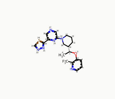 CC(Oc1cccnc1C(F)(F)F)[C@H]1CCCN(c2cncc(-c3nncs3)n2)C1